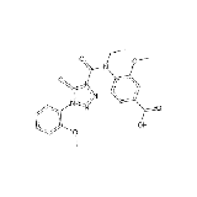 CCN(C(=O)n1nnn(-c2ccccc2OC)c1=O)c1ccc(C(=O)O)cc1OC